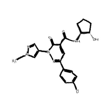 Cn1cc(-n2nc(-c3ccc(Cl)cc3)cc(C(=O)N[C@H]3CCC[C@@H]3O)c2=O)cn1